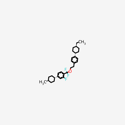 CC[C@H]1CC[C@H](c2ccc(CCOC(F)(F)c3ccc([C@H]4CC[C@H](C)CC4)cc3F)cc2)CC1